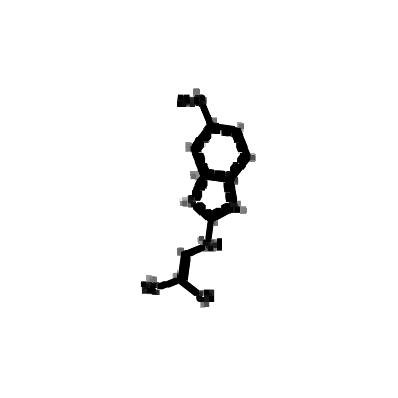 COc1ccc2nc(NC=C(C#N)C#N)sc2c1